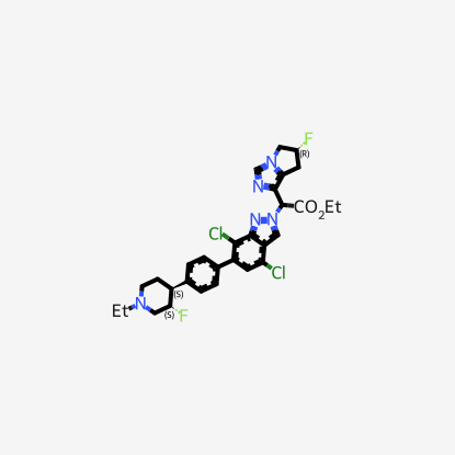 CCOC(=O)C(c1ncn2c1C[C@@H](F)C2)n1cc2c(Cl)cc(-c3ccc([C@@H]4CCN(CC)C[C@H]4F)cc3)c(Cl)c2n1